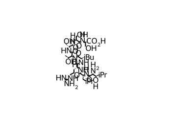 CC[C@H](C)[C@H](NC(=O)[C@@H](CCCNC(=N)N)NC(=O)[C@H](CC(C)C)NC(=O)[C@@H](N)[C@H](O)C(C)C)C(=O)N[C@H](C(=O)N[C@H](CO)C(=O)NC(CO)C(=O)N[C@@H](CO)C(=O)O)[C@H](C)O